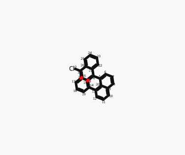 Clc1ccc(-c2cccc3cccc(-c4ccccc4)c23)c2ccccc12